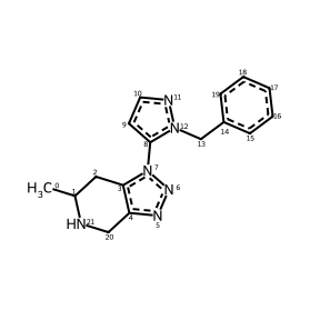 CC1Cc2c(nnn2-c2ccnn2Cc2ccccc2)CN1